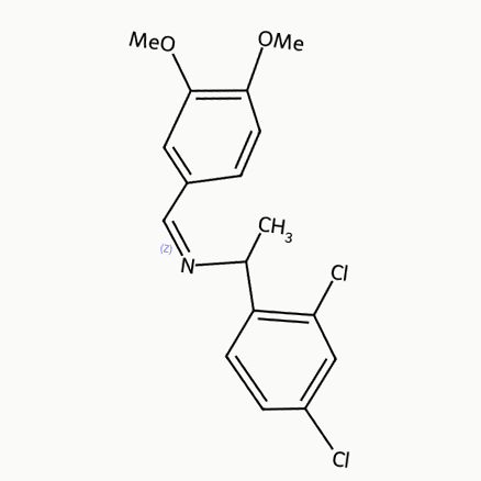 COc1ccc(/C=N\C(C)c2ccc(Cl)cc2Cl)cc1OC